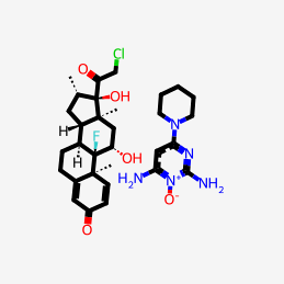 C[C@H]1C[C@H]2[C@@H]3CCC4=CC(=O)C=C[C@]4(C)[C@@]3(F)[C@@H](O)C[C@]2(C)[C@@]1(O)C(=O)CCl.Nc1cc(N2CCCCC2)nc(N)[n+]1[O-]